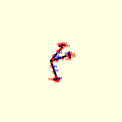 COC1C(O)C(CO)OC(OCCCCC(=O)NCCCNC(=O)CCOCC(C)(COCCC(=O)NCCCNC(=O)CCCCOC2OC(CO)C(O)C(O)C2NC(C)=O)COCCC(=O)NCCCNC(=O)CCCCOC2OC(CO)C(O)C(O)C2NC(C)=O)C1NC(C)=O